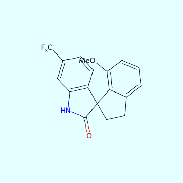 COc1cccc2c1C1(CC2)C(=O)Nc2cc(C(F)(F)F)ccc21